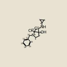 OC1(CNC2CC2)CCN(Cc2ccccc2)C1(Cl)Cl